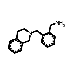 NCc1ccccc1CN1CCc2ccccc2C1